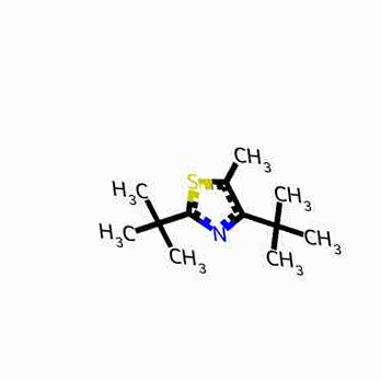 Cc1sc(C(C)(C)C)nc1C(C)(C)C